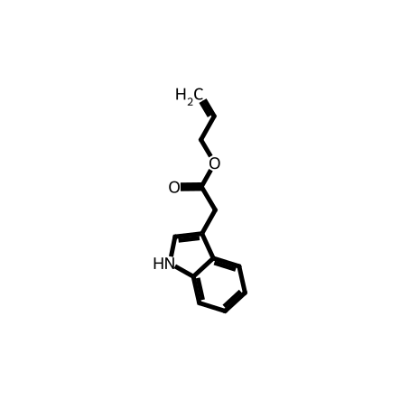 C=CCOC(=O)Cc1c[nH]c2ccccc12